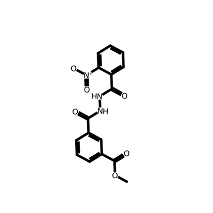 COC(=O)c1cccc(C(=O)NNC(=O)c2ccccc2[N+](=O)[O-])c1